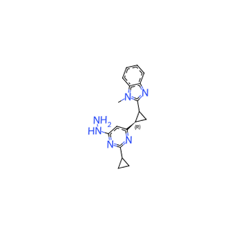 Cn1c(C2C[C@H]2c2cc(NN)nc(C3CC3)n2)nc2ccccc21